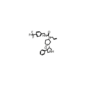 C=CCN(C(=O)NCc1ccc(C(F)(F)F)cc1)C1CCN(O[C@]2(c3ccccc3)CNC[C@@H]2C)CC1